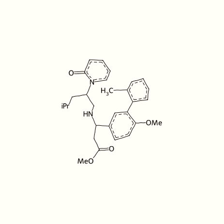 COC(=O)CC(NCC(CC(C)C)n1ccccc1=O)c1ccc(OC)c(-c2ccccc2C)c1